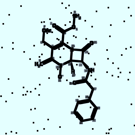 BOC(=O)C1=C(COC(C)=O)C(=C)[S+]([O-])[C@@H]2[C@H](NC(=O)Cc3ccccc3)C(=O)N12